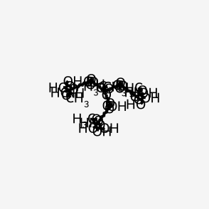 CC(=O)NC1C(OCCCCCCOP(=O)(O)OCCCOCC(COCCCOP(=O)(O)OCCCCCCOC2OC(CO)C(O)C(O)C2NC(C)=O)(COCCCOP(=O)(O)OCCCCCCOC2OC(CO)C(O)C(O)C2NC(C)=O)C(C)C)OC(CO)C(O)C1O